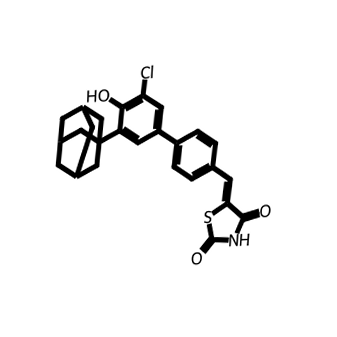 O=C1NC(=O)C(=Cc2ccc(-c3cc(Cl)c(O)c(C45CC6CC(CC(C6)C4)C5)c3)cc2)S1